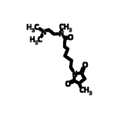 CC1CC(=O)N(CCCCCC(=O)N(C)CCN(C)C)C1=O